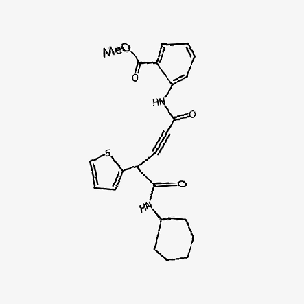 COC(=O)c1ccccc1NC(=O)C#CC(C(=O)NC1CCCCC1)c1cccs1